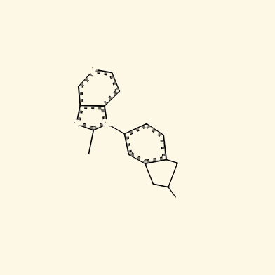 CCOC(=O)C1Cc2ccc(-n3c(C)nc4cnccc43)cc2C1